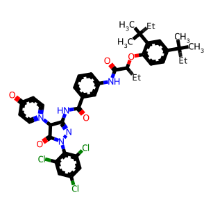 CCC(Oc1ccc(C(C)(C)CC)cc1C(C)(C)CC)C(=O)Nc1cccc(C(=O)NC2=NN(c3c(Cl)cc(Cl)cc3Cl)C(=O)C2n2ccc(=O)cc2)c1